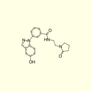 O=C(NCCN1CCCC1=O)c1cccc(-n2ncc3cc(O)ccc32)c1